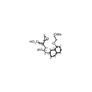 COCCOc1cccc2ccc(CC(CC(NC(=O)O)C3CO3)C(C)C)cc12